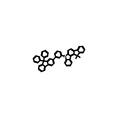 CC1(C)c2ccccc2-c2ccc3c(c21)c1ccccc1n3-c1cccc(-c2ccc3c(c2)C(c2ccccc2)(c2ccccc2)c2ccccc2-3)c1